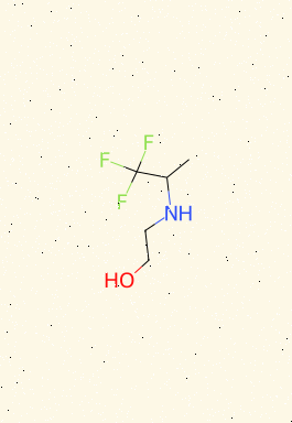 CC(NCCO)C(F)(F)F